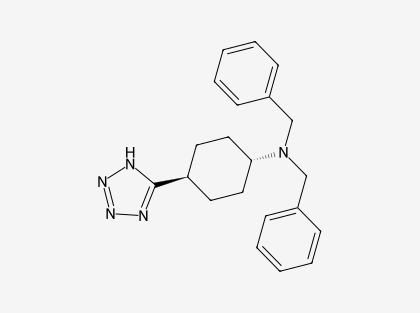 c1ccc(CN(Cc2ccccc2)[C@H]2CC[C@H](c3nnn[nH]3)CC2)cc1